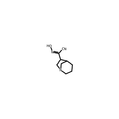 N#CC(=NO)C1CN2CCCC1C2